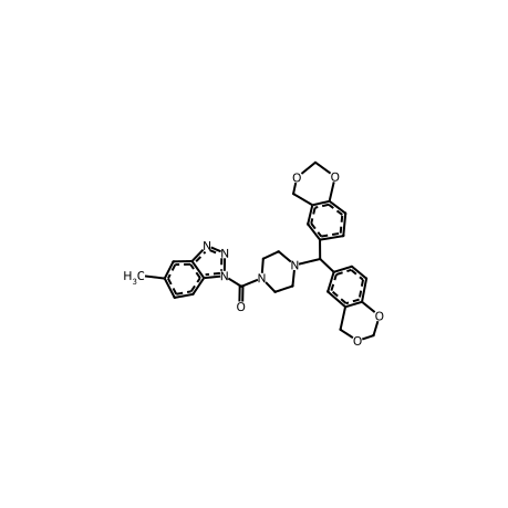 Cc1ccc2c(c1)nnn2C(=O)N1CCN(C(c2ccc3c(c2)COCO3)c2ccc3c(c2)COCO3)CC1